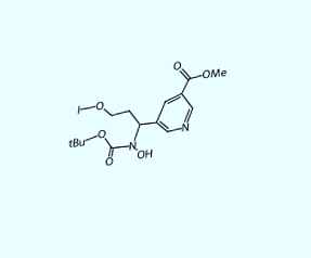 COC(=O)c1cncc(C(CCOI)N(O)C(=O)OC(C)(C)C)c1